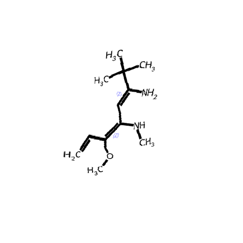 C=C/C(OC)=C(\C=C(/N)C(C)(C)C)NC